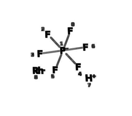 F[P-](F)(F)(F)(F)F.[H+].[Rh]